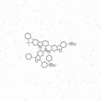 CC(C)(C)c1ccc(N2B3c4cc5c(-c6ccccc6)oc(-c6ccccc6)c5cc4-n4c5cc6c(cc5c5ccc(c3c54)-c3cc4c(cc32)oc2cc(C(C)(C)C)ccc24)-c2ccccc2C6(C)C)cc1